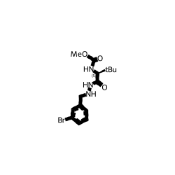 COC(=O)N[C@H](C(=O)NNCc1cccc(Br)c1)C(C)(C)C